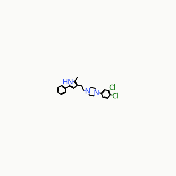 Cc1[nH]c(-c2ccccc2)cc1CCN1CCN(c2ccc(Cl)c(Cl)c2)CC1